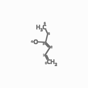 C=CC=C([O])CC